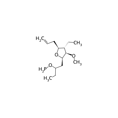 C=CC[C@@H]1O[C@H](CC(CC)OP)[C@H](OC)[C@H]1CC